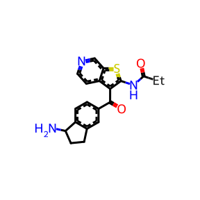 CCC(=O)Nc1sc2cnccc2c1C(=O)c1ccc2c(c1)CCC2N